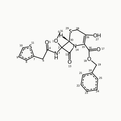 COC1(NC(=O)Cc2cccs2)C(=O)N2C(C(=O)OCc3ccccc3)=C(O)CS[C@H]21